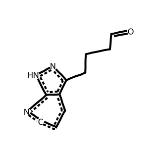 O=CCCCc1n[nH]c2ncccc12